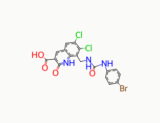 O=C(NCc1c(Cl)c(Cl)cc2cc(C(=O)O)c(=O)[nH]c12)Nc1ccc(Br)cc1